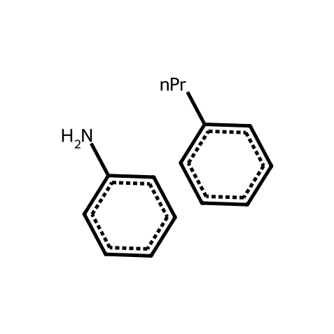 CCCc1ccccc1.Nc1ccccc1